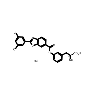 Cl.N[C@@H](Cc1cccc(OC(=O)c2ccc3nc(-c4cc(Cl)cc(Cl)c4)oc3c2)c1)C(=O)O